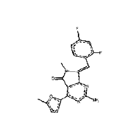 Cc1ccc(-c2nc(N)nc3c2C(=O)N(C)C3=Cc2ccc(F)cc2F)o1